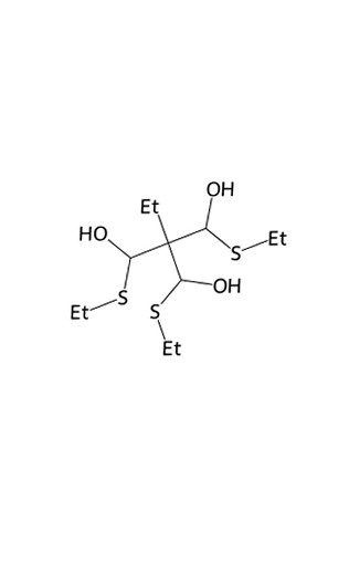 CCSC(O)C(CC)(C(O)SCC)C(O)SCC